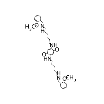 COc1ccccc1CNCCCCCCNC1=CC(=O)C(NCCCCCCNCc2ccccc2OC)=CC1=O